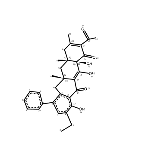 CCc1cc(-c2ccccc2)c2c(c1O)C(=O)C1=C(O)[C@@]3(O)C(=O)C(C(C)=O)=C(C)C[C@@]3(C)C[C@@]1(C)C2